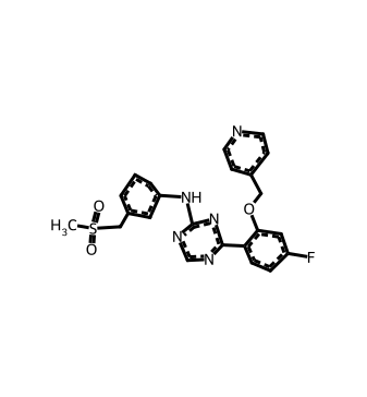 CS(=O)(=O)Cc1cccc(Nc2ncnc(-c3ccc(F)cc3OCc3ccncc3)n2)c1